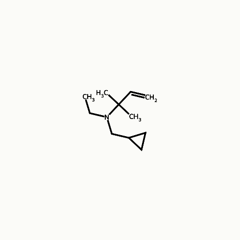 C=CC(C)(C)N(CC)CC1CC1